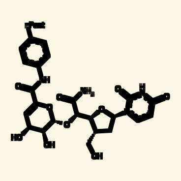 CCCCCc1ccc(NC(=O)C2=C[C@H](O)[C@H](O)[C@@H](O[C@@H](C(N)=O)[C@H]3O[C@@H](n4ccc(=O)[nH]c4=O)C[C@@H]3CO)O2)cc1